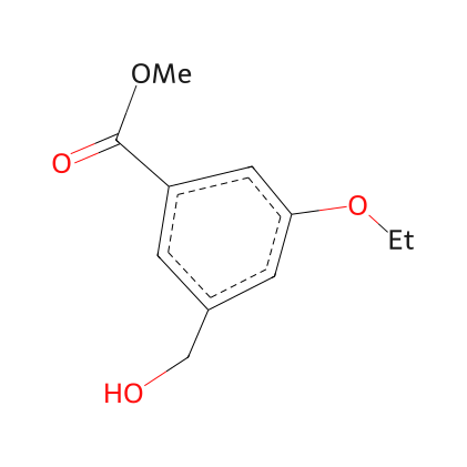 CCOc1cc(CO)cc(C(=O)OC)c1